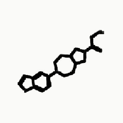 CC(C)(C)OC(=O)N1CC2CCN(c3ccc4sccc4c3)CCC2C1